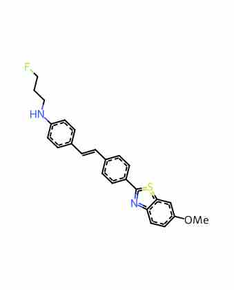 COc1ccc2nc(-c3ccc(/C=C/c4ccc(NCCCF)cc4)cc3)sc2c1